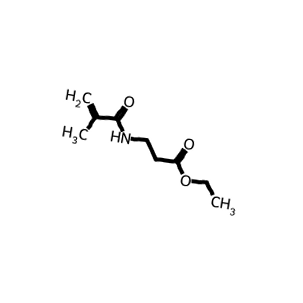 C=C(C)C(=O)NCCC(=O)OCC